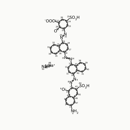 Nc1ccc2c([O-])c(N=Nc3ccc(N=Nc4ccc(N=Nc5cc(S(=O)(=O)O)cc(C(=O)[O-])c5[O-])c5ccccc45)c4ccccc34)c(S(=O)(=O)O)cc2c1.[Na+].[Na+].[Na+]